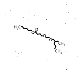 CCCCCCOC(=O)CCCOCCOCC(CC)CCCC